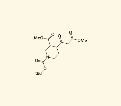 COC(=O)CC(=O)C1CCN(C(=O)OC(C)(C)C)CC1C(=O)OC